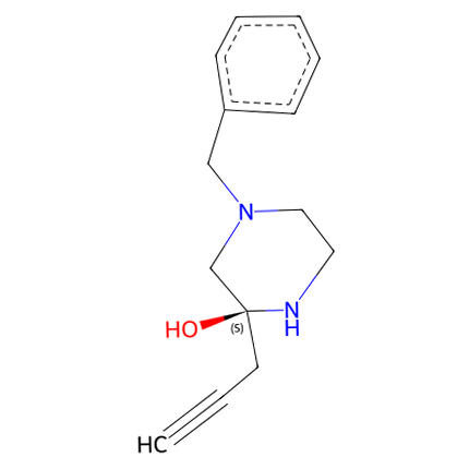 C#CC[C@]1(O)CN(Cc2ccccc2)CCN1